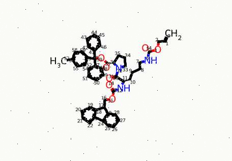 C=CCOC(=O)NCCCC[C@@H](NC(=O)OCC1c2ccccc2-c2ccccc21)C(=O)N1CCC[C@H]1C(=O)OC(c1ccccc1)(c1ccccc1)c1ccc(C)cc1